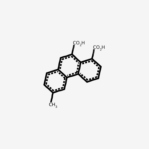 Cc1ccc2cc(C(=O)O)c3c(C(=O)O)cccc3c2c1